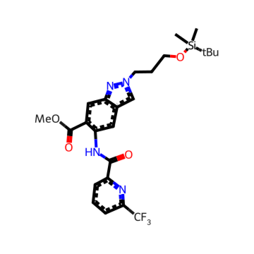 COC(=O)c1cc2nn(CCCO[Si](C)(C)C(C)(C)C)cc2cc1NC(=O)c1cccc(C(F)(F)F)n1